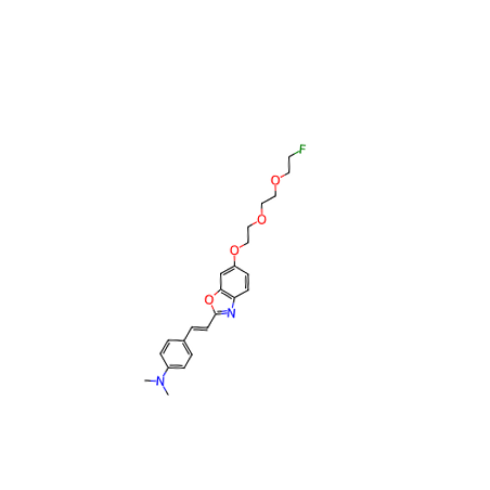 CN(C)c1ccc(C=Cc2nc3ccc(OCCOCCOCCF)cc3o2)cc1